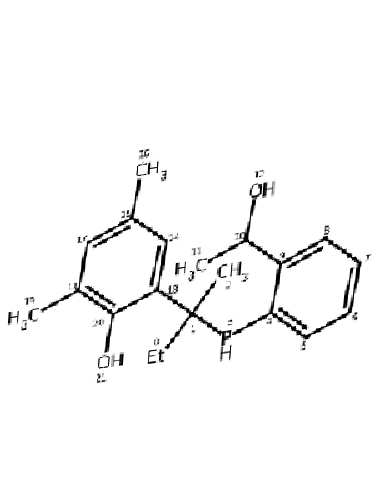 CCC(C)(Pc1ccccc1C(C)O)c1cc(C)cc(C)c1O